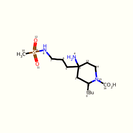 CC(C)(C)C1CC(N)(CCCNS(C)(=O)=O)CCN1C(=O)O